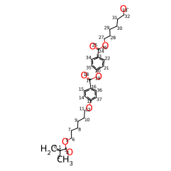 C=C(C)C(=O)OCCCCCCOc1ccc(C(=O)Oc2ccc(C(=O)OCCCCCC[O])cc2)cc1